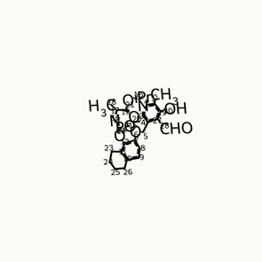 Cc1ncc(COc2ccc3c(c2O[P+]([O-])=N[C@@H](C)C(=O)OC(C)C)CCCC3)c(C=O)c1O